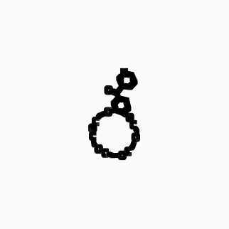 O=C(c1cccnc1)c1ccc2c(c1)OCCOCCOCCOCCOCCO2